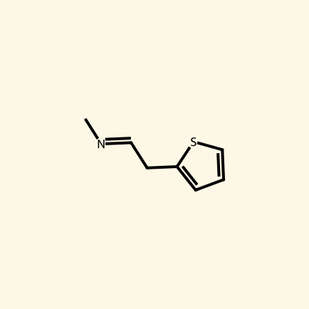 C/N=C/Cc1cccs1